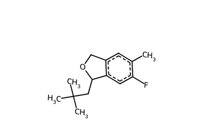 Cc1cc2c(cc1F)C(CC(C)(C)C)OC2